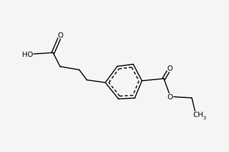 CCOC(=O)c1ccc(CCCC(=O)O)cc1